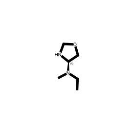 CCN(C)[C@@H]1COCN1